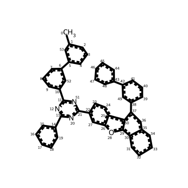 Cc1cccc(-c2cccc(-c3nc(-c4ccccc4)nc(-c4ccc5c(c4)oc4c6ccccc6cc(-c6cccc(-c7ccccc7)c6)c54)n3)c2)c1